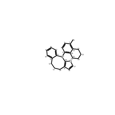 Cc1ccc(N2c3ccccc3CCCc3ccoc32)c2c1CCCC2